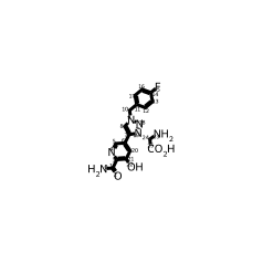 NC(=O)c1ncc(-c2cn(Cc3ccc(F)cc3)nn2)cc1O.NCC(=O)O